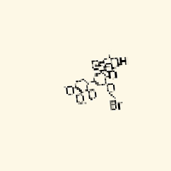 CCCOc1c(OCCBr)cc(-c2ccc(OC)c(OC)c2OC)cc1S(=O)(=O)CC(C)O